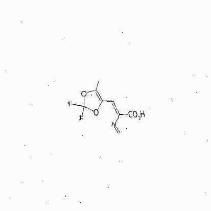 C=N/C(=C\C1=C(C)OC(F)(F)O1)C(=O)O